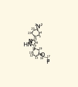 CN(C)c1ccc(-c2cc(-c3cccc(OCCF)c3)[nH]n2)cc1